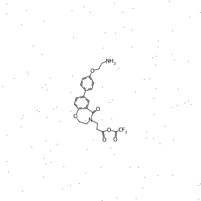 NCCOc1ccc(-c2ccc3c(c2)C(=O)N(CCC(=O)OC(=O)C(F)(F)F)CCO3)cc1